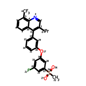 CC(C)c1cnc2c(C(F)(F)F)cccc2c1-c1cccc(Oc2cc(F)cc(S(C)(=O)=O)c2)c1